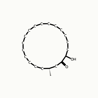 C[C@@H]1CCCCCCCCCCCCCCCCC(O)C(=O)C1